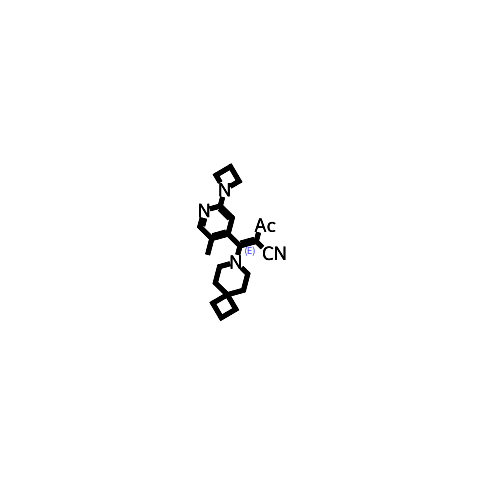 CC(=O)/C(C#N)=C(\c1cc(N2CCC2)ncc1C)N1CCC2(CCC2)CC1